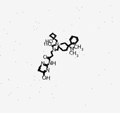 CN(C)[C@]1(c2ccccc2)CC[C@]2(CC1)CN(CCC(=O)Nc1nccc(O)n1)C(O)N2CC1(O)CCC1